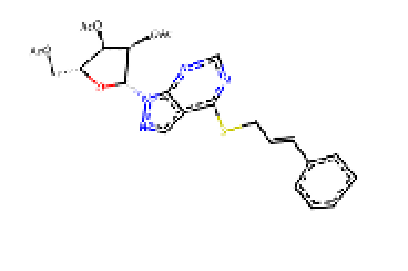 CC(=O)OC[C@H]1O[C@@H](n2ncc3c(SC/C=C/c4ccccc4)ncnc32)[C@H](OC(C)=O)[C@@H]1OC(C)=O